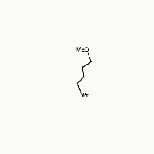 [CH2]CCCCC[CH]OC